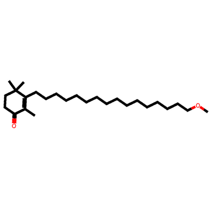 COCCCCCCCCCCCCCCCCC1=C(C)C(=O)CCC1(C)C